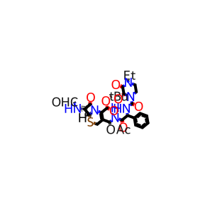 CCN1CCN(C(=O)NC(C(=O)NC(OC(C)=O)C2=C(C(=O)OC(C)(C)C)N3C(=O)[C@@H](NC=O)[C@H]3SC2)c2ccccc2)C(=O)C1=O